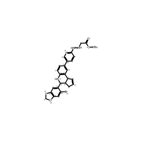 CC(C)(C)OC(=O)CNNc1ccc(-c2ccc3c(c2)C2C=CCC2C(c2cc4c(cc2Br)OCO4)N3)cn1